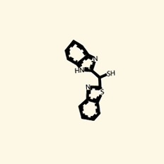 SC(c1nc2ccccc2[nH]1)c1nc2ccccc2s1